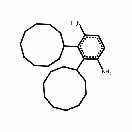 Nc1ccc(N)c(C2CCCCCCCCC2)c1C1CCCCCCCCC1